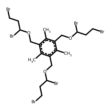 Cc1c(COC(Br)CCBr)c(C)c(COC(Br)CCBr)c(C)c1COC(Br)CCBr